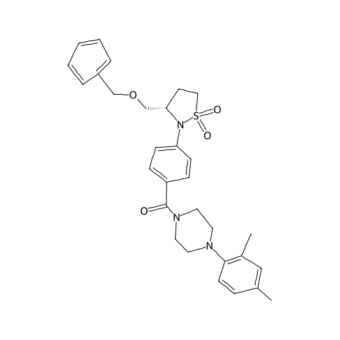 Cc1ccc(N2CCN(C(=O)c3ccc(N4[C@H](COCc5ccccc5)CCS4(=O)=O)cc3)CC2)c(C)c1